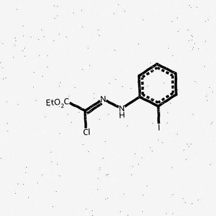 CCOC(=O)/C(Cl)=N/Nc1ccccc1I